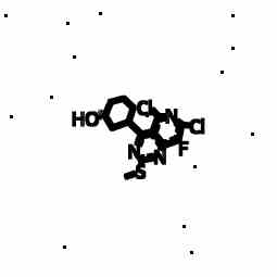 CSc1nc(C2CCC[C@@H](O)C2)c2c(Cl)nc(Cl)c(F)c2n1